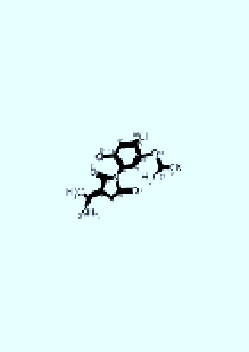 CC(C)=C1CC(=O)N(c2cc(OC(C)C#N)c(Cl)cc2Cl)C1=O